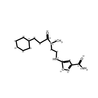 CN(CCNc1cc(C(N)=O)no1)C(=O)[CH]CC1CCCCC1